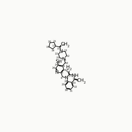 C=C1NC(=C)N(Cc2cc(CN3CCN(C(=C)C4CCCC4)CC3)c(S)cn2)c2ccccc21